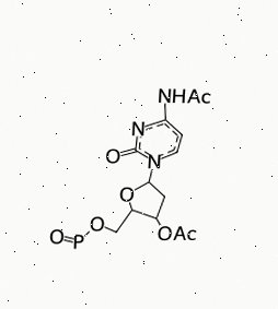 CC(=O)Nc1ccn(C2CC(OC(C)=O)C(COP=O)O2)c(=O)n1